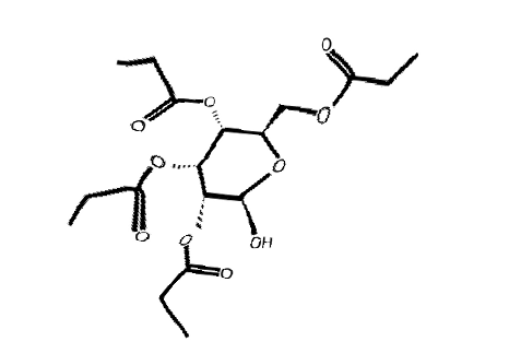 CCC(=O)OC[C@H]1O[C@@H](O)[C@H](OC(=O)CC)[C@H](OC(=O)CC)[C@@H]1OC(=O)CC